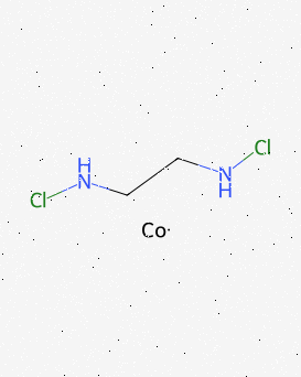 ClNCCNCl.[Co]